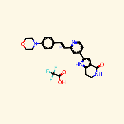 O=C(O)C(F)(F)F.O=C1NCCc2[nH]c(-c3ccnc(/C=C/c4ccc(N5CCOCC5)cc4)c3)cc21